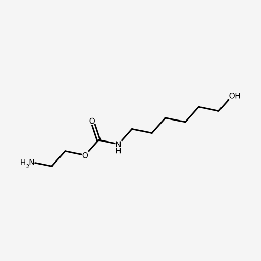 NCCOC(=O)NCCCCCCO